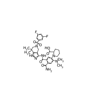 CN(C)c1cc(C(N)=O)c(C(=O)Nc2n[nH]c3c2CN(S(=O)(=O)c2cc(F)cc(F)c2)CC3(C)C)cc1N1CCCCC1C(=O)O